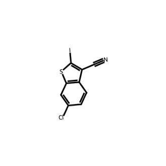 N#Cc1c(I)sc2cc(Cl)ccc12